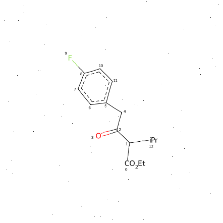 CCOC(=O)C(C(=O)Cc1ccc(F)cc1)C(C)C